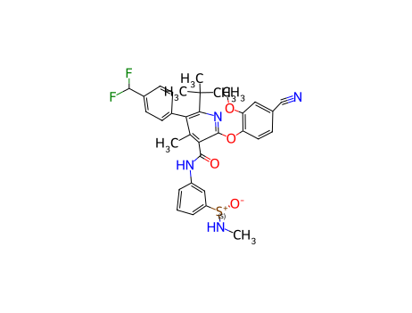 CN[S@+]([O-])c1cccc(NC(=O)c2c(Oc3ccc(C#N)cc3OC)nc(C(C)(C)C)c(-c3ccc(C(F)F)cc3)c2C)c1